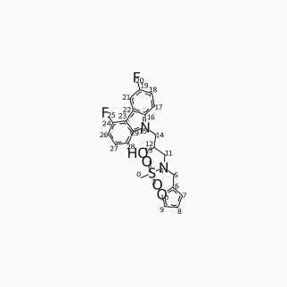 CS(=O)(=O)N(Cc1ccco1)CC(O)Cn1c2ccc(F)cc2c2c(F)cccc21